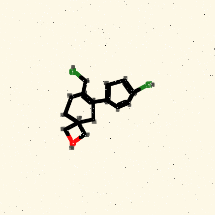 ClCC1=C(c2ccc(Cl)cc2)CC2(CC1)COC2